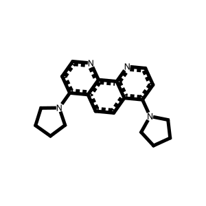 c1cc(N2CCCC2)c2ccc3c(N4CCCC4)ccnc3c2n1